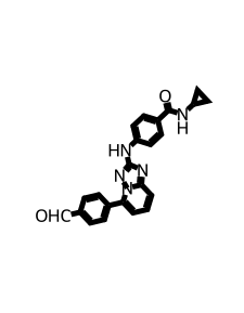 O=Cc1ccc(-c2cccc3nc(Nc4ccc(C(=O)NC5CC5)cc4)nn23)cc1